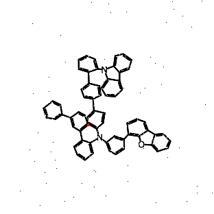 c1ccc(-c2cccc(-c3ccccc3N(c3ccc(-c4ccc(-c5ccccc5-n5c6ccccc6c6ccccc65)cc4)cc3)c3cccc(-c4cccc5c4oc4ccccc45)c3)c2)cc1